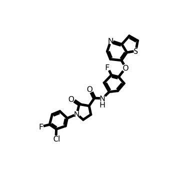 O=C(Nc1ccc(Oc2ccnc3ccsc23)c(F)c1)C1CCN(c2ccc(F)c(Cl)c2)C1=O